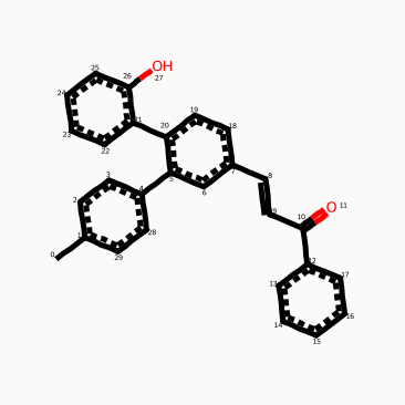 Cc1ccc(-c2cc(C=CC(=O)c3ccccc3)ccc2-c2ccccc2O)cc1